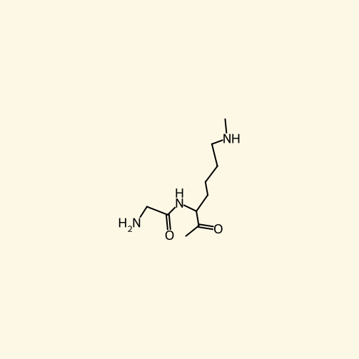 CNCCCCC(NC(=O)CN)C(C)=O